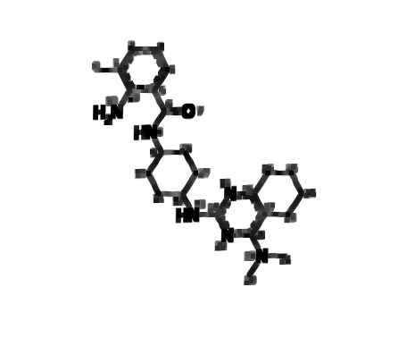 Cc1cccc(C(=O)NC2CCC(Nc3nc4c(c(N(C)C)n3)CCCC4)CC2)c1N